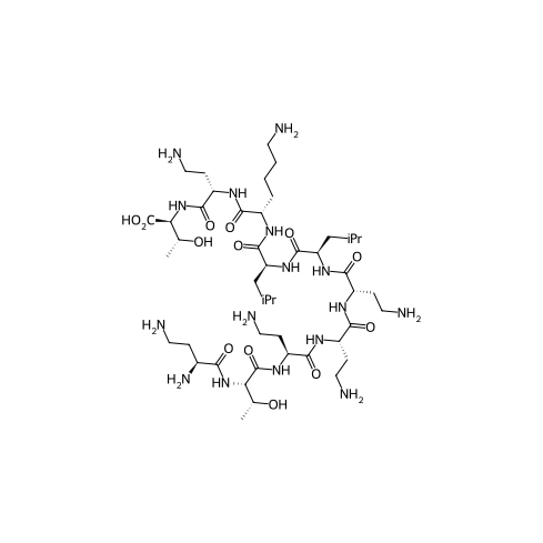 CC(C)C[C@H](NC(=O)[C@@H](CC(C)C)NC(=O)[C@H](CCN)NC(=O)[C@H](CCN)NC(=O)[C@H](CCN)NC(=O)[C@@H](NC(=O)[C@@H](N)CCN)[C@@H](C)O)C(=O)N[C@@H](CCCCN)C(=O)N[C@@H](CCN)C(=O)N[C@H](C(=O)O)[C@@H](C)O